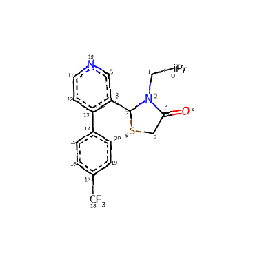 CC(C)CN1C(=O)CSC1c1cnccc1-c1ccc(C(F)(F)F)cc1